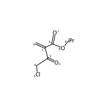 C=C(C(=O)CCl)C(=O)OC(C)C